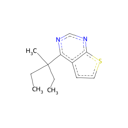 CCC(C)(CC)c1ncnc2sccc12